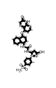 CS(=O)(=O)c1ccc(-n2nc(O)cc2NC(=O)Nc2ccc(Oc3ccnc4[nH]c(=O)cnc34)c3ccccc23)cc1